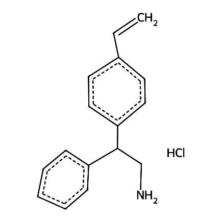 C=Cc1ccc(C(CN)c2ccccc2)cc1.Cl